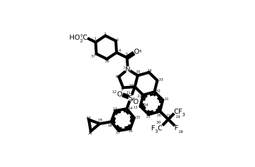 O=C(O)C1CCC(C(=O)N2CCC3(S(=O)(=O)c4cccc(C5CC5)c4)c4ccc(C(F)(C(F)(F)F)C(F)(F)F)cc4CCC23)CC1